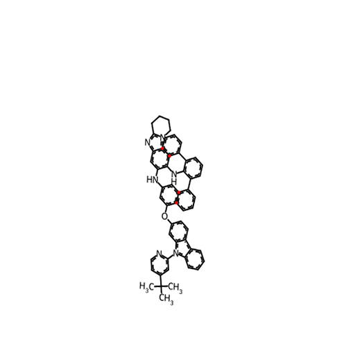 CC(C)(C)c1ccnc(-n2c3ccccc3c3ccc(Oc4cccc(Nc5cc6nc7n(c6cc5Nc5c(-c6ccccc6)cccc5-c5ccccc5)CCCC7)c4)cc32)c1